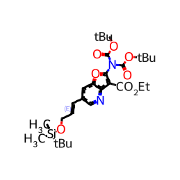 CCOC(=O)c1c(N(C(=O)OC(C)(C)C)C(=O)OC(C)(C)C)oc2cc(/C=C/CO[Si](C)(C)C(C)(C)C)cnc12